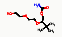 CC(C)(C)C(COC(N)=O)OCCOCCO